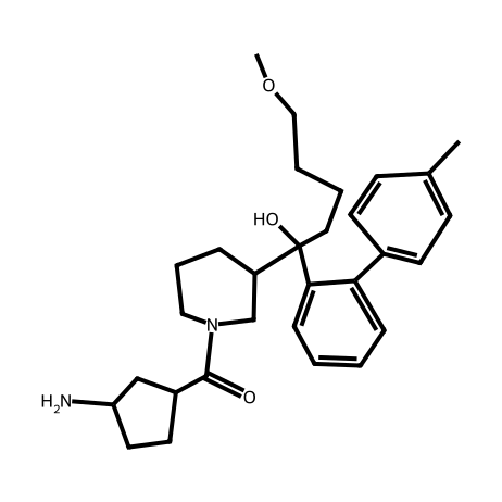 COCCCCC(O)(c1ccccc1-c1ccc(C)cc1)C1CCCN(C(=O)C2CCC(N)C2)C1